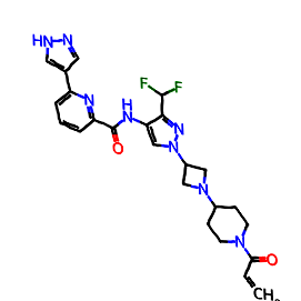 C=CC(=O)N1CCC(N2CC(n3cc(NC(=O)c4cccc(-c5cn[nH]c5)n4)c(C(F)F)n3)C2)CC1